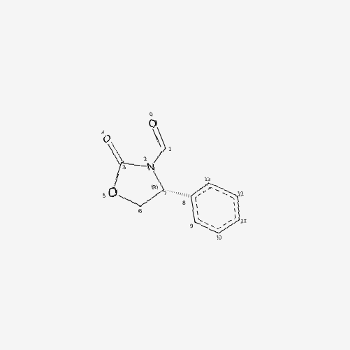 O=CN1C(=O)OC[C@H]1c1ccccc1